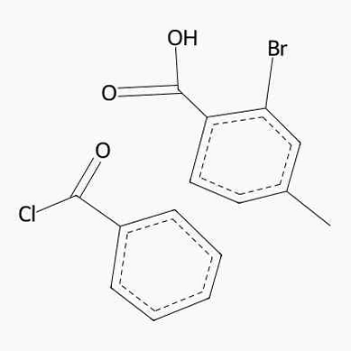 Cc1ccc(C(=O)O)c(Br)c1.O=C(Cl)c1ccccc1